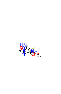 CCOCC[SH](=O)(C=O)Nc1ccc(-c2cc(NC(=O)C3CC3)nc3[nH]ccc23)cc1